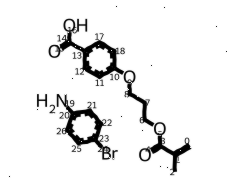 C=C(C)C(=O)OCCCOc1ccc(C(=O)O)cc1.Nc1ccc(Br)cc1